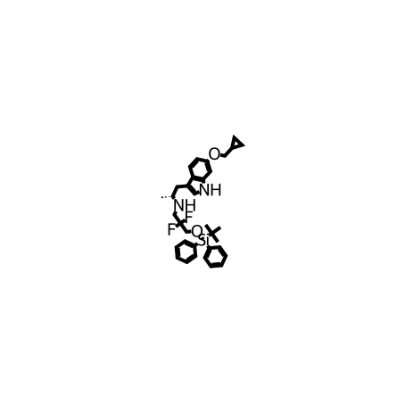 C[C@H](Cc1c[nH]c2cc(OCC3CC3)ccc12)NCC(F)(F)CO[Si](c1ccccc1)(c1ccccc1)C(C)(C)C